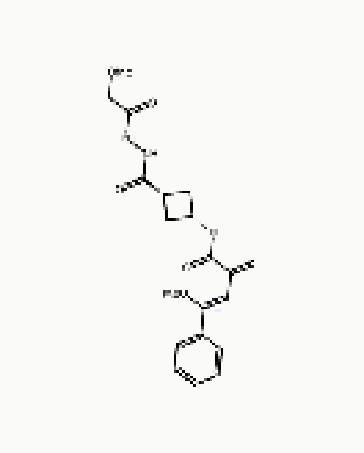 C=C(/C=C(\OC)c1ccccc1)C(=O)N[C@H]1C[C@H](C(=O)NNC(=O)COC)C1